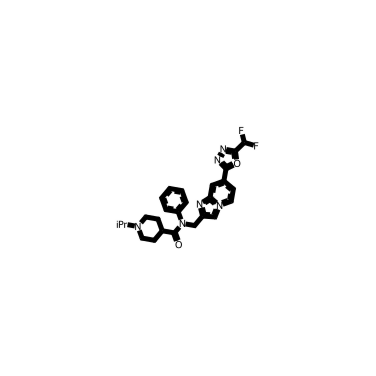 CC(C)N1CCC(C(=O)N(Cc2cn3ccc(-c4nnc(C(F)F)o4)cc3n2)c2ccccc2)CC1